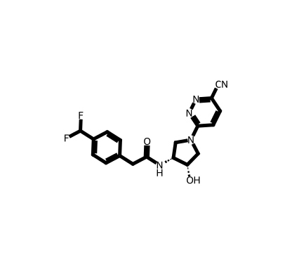 N#Cc1ccc(N2C[C@H](O)[C@H](NC(=O)Cc3ccc(C(F)F)cc3)C2)nn1